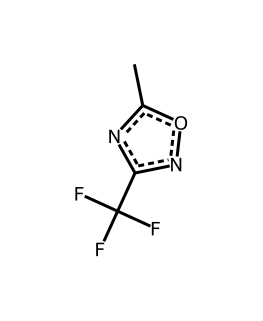 Cc1nc(C(F)(F)F)no1